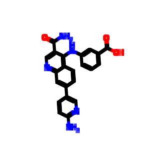 NC(=O)c1cnc2cc(-c3ccc(N)nc3)ccc2c1Nc1cccc(C(=O)O)c1